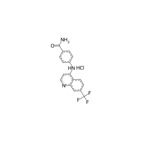 Cl.NC(=O)c1ccc(Nc2ccnc3cc(C(F)(F)F)ccc23)cc1